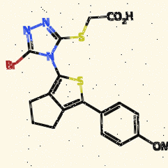 COc1ccc(-c2sc(-n3c(Br)nnc3SCC(=O)O)c3c2CCC3)cc1